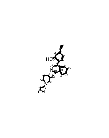 C#Cc1ccc(-c2nnc(NC3CCCN(CCO)C3)c3ccccc23)c(O)c1